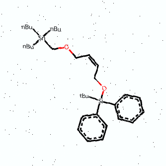 CCC[CH2][Sn]([CH2]CCC)([CH2]CCC)[CH2]OC/C=C\CO[Si](c1ccccc1)(c1ccccc1)C(C)(C)C